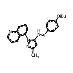 Cc1cc(NSc2ccc(OCC(C)C)cc2)n(-c2cccc3ncccc23)n1